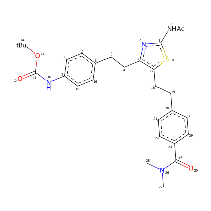 CC(=O)Nc1nc(CCc2ccc(NC(=O)OC(C)(C)C)cc2)c(CCc2ccc(C(=O)N(C)C)cc2)s1